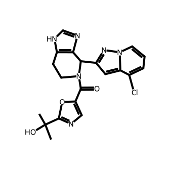 CC(C)(O)c1ncc(C(=O)N2CCc3[nH]cnc3C2c2cc3c(Cl)cccn3n2)o1